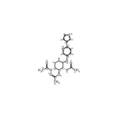 CC(=O)O[C@@H]1[C@@H](OC(C)=O)[C@H](OC(C)=O)CS[C@H]1Oc1ccc(-c2ccsc2)nc1